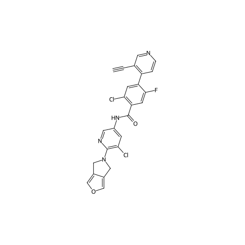 C#Cc1cnccc1-c1cc(Cl)c(C(=O)Nc2cnc(N3Cc4cocc4C3)c(Cl)c2)cc1F